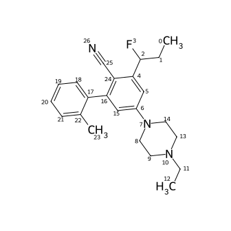 CCC(F)c1cc(N2CCN(CC)CC2)cc(-c2ccccc2C)c1C#N